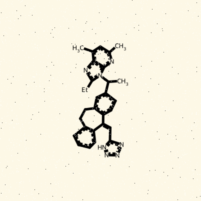 CCc1nc2c(C)cc(C)nc2n1C(C)c1ccc2c(c1)CCc1ccccc1C2=Cc1nnn[nH]1